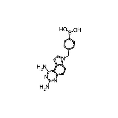 Nc1nc(N)c2c(ccc3c2ccn3Cc2ccc(B(O)O)cc2)n1